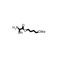 CCCC(N)C(=O)OCCCCOC